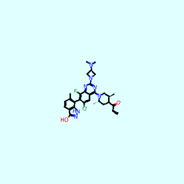 C=CC(=O)C1C[C@H](C)N(c2nc(N3CC(N(C)C)C3)nc3c(F)c(-c4c(C)ccc5c(O)n[nH]c45)c(Cl)cc23)C[C@H]1C